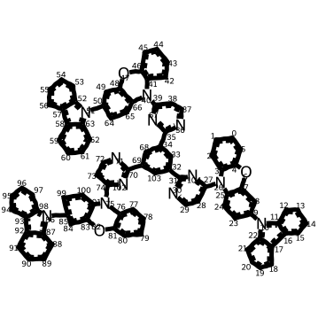 c1ccc2c(c1)Oc1cc(-n3c4ccccc4c4ccccc43)ccc1N2c1ccnc(-c2cc(-c3nccc(N4c5ccccc5Oc5cc(-n6c7ccccc7c7ccccc76)ccc54)n3)cc(-c3nccc(N4c5ccccc5Oc5cc(-n6c7ccccc7c7ccccc76)ccc54)n3)c2)n1